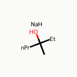 CCCC(C)(O)CC.[NaH]